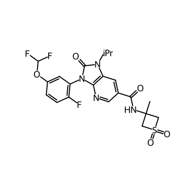 CC(C)n1c(=O)n(-c2cc(OC(F)F)ccc2F)c2ncc(C(=O)NC3(C)CS(=O)(=O)C3)cc21